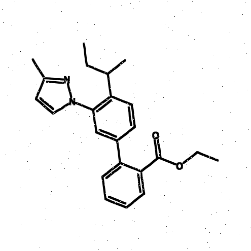 CCOC(=O)c1ccccc1-c1ccc(C(C)CC)c(-n2ccc(C)n2)c1